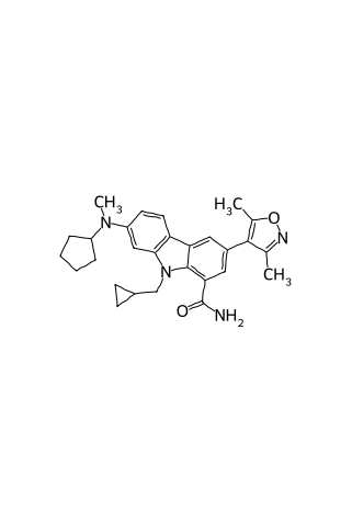 Cc1noc(C)c1-c1cc(C(N)=O)c2c(c1)c1ccc(N(C)C3CCCC3)cc1n2CC1CC1